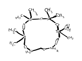 C[Si]1(C)O[SiH2]O[SiH2]O[Si](C)(C)O[Si](C)(C)O[Si](C)(C)O1